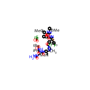 CNCc1cc(NC(=O)[C@H](CCCNC(N)=O)NC(=O)[C@@H](NC(=O)OC(C)(C)C)C(C)C)ccc1C[N+]1(C)CCN(CCOc2ccc(-c3c(-c4ccc(F)cc4)sc4ncnc(O[C@H](Cc5ccccc5OCc5ccnc(-c6ccccc6OC)n5)C(=O)OCc5ccc(OC)cc5)c34)c(C)c2Cl)CC1.O=C([O-])C(F)(F)F